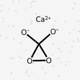 [Ca+2].[O-]C1([O-])OO1